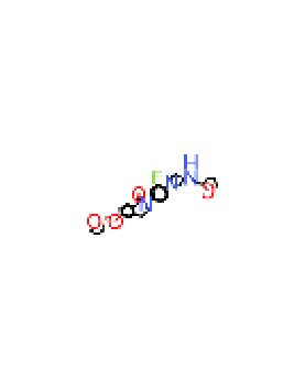 O=C1c2ccc(OC[C@@H]3CCCO3)cc2CCN1c1ccc(N2CCC(NCC3CCCO3)C2)c(F)c1